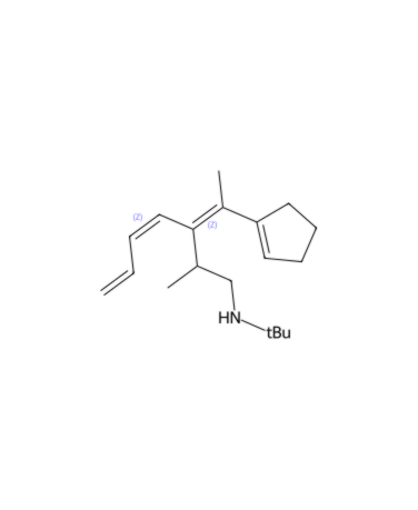 C=C/C=C\C(=C(/C)C1=CCCC1)C(C)CNC(C)(C)C